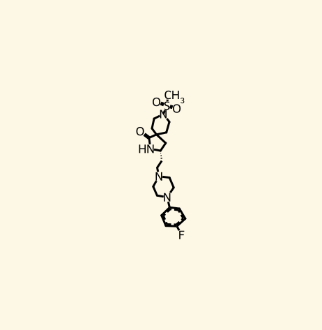 CS(=O)(=O)N1CCC2(CC1)C[C@H](CCN1CCN(c3ccc(F)cc3)CC1)NC2=O